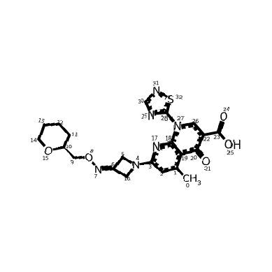 Cc1cc(N2CC(=NOC[C@@H]3CCCCO3)C2)nc2c1c(=O)c(C(=O)O)cn2-c1ncns1